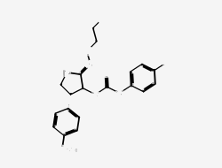 COc1ccc([C@@H]2CN/C(=N\OCCO)C2NC(=O)Nc2ccc(F)cc2)cc1